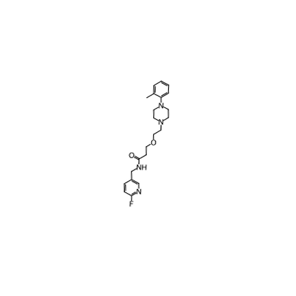 Cc1ccccc1N1CCN(CCOCCC(=O)NCc2ccc(F)nc2)CC1